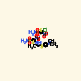 C[C@H](CCSc1ccc(N(C)C)cc1)Nc1sc(S(N)(=O)=O)cc1[N+](=O)[O-].NS(=O)(=O)c1cc([N+](=O)[O-])c(Cl)s1